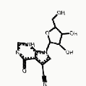 N#Cc1cn(C2OC(CO)C(O)C2O)c2[nH]cnc(=O)c12